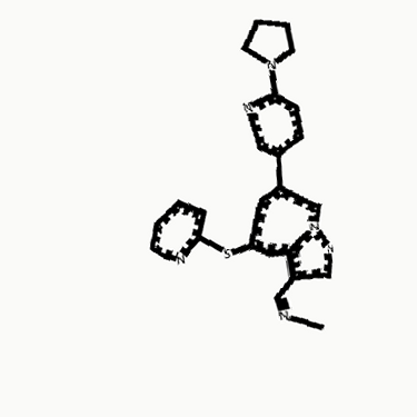 C/N=C\c1cnn2cc(-c3ccc(N4CCCC4)nc3)cc(Sc3ccccn3)c12